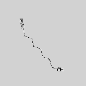 [CH]CCCCCC[CH]C#N